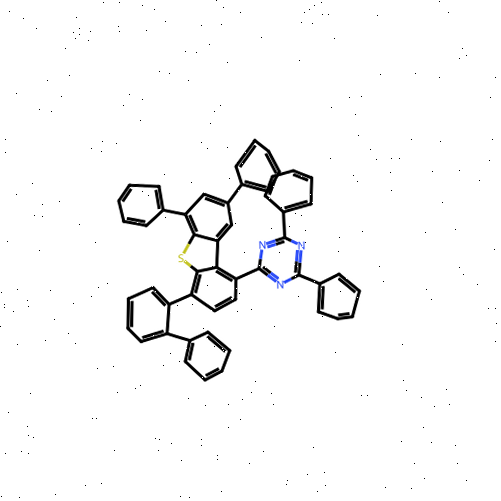 c1ccc(-c2cc(-c3ccccc3)c3sc4c(-c5ccccc5-c5ccccc5)ccc(-c5nc(-c6ccccc6)nc(-c6ccccc6)n5)c4c3c2)cc1